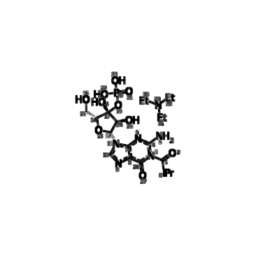 CC(C)C(=O)n1c(N)nc2c(ncn2[C@@H]2O[C@H](CO)[C@](O)(OP(=O)(O)O)[C@H]2O)c1=O.CCN(CC)CC